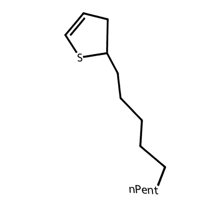 CCCCCCCCCCC1CC=CS1